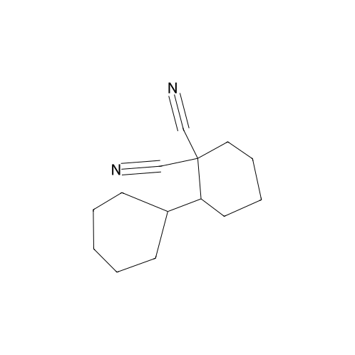 N#CC1(C#N)CCCCC1C1CCCCC1